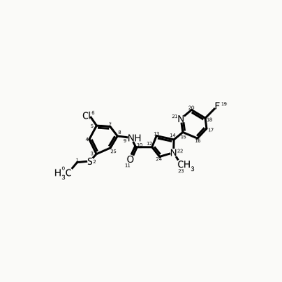 CCSc1cc(Cl)cc(NC(=O)c2cc(-c3ccc(F)cn3)n(C)c2)c1